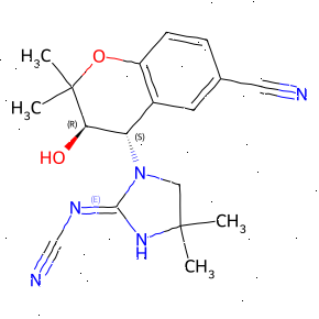 CC1(C)CN([C@H]2c3cc(C#N)ccc3OC(C)(C)[C@@H]2O)/C(=N/C#N)N1